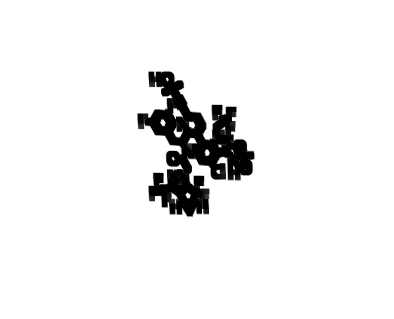 CC(C)(O)C#Cc1ccc(-c2ccc(Cl)c3c(NS(C)(=O)=O)nn(CC(F)(F)F)c23)c(C(Cc2cc(F)cc(F)c2)NC(=O)Cn2nc(C(F)(F)F)c3c2C(F)(F)[C@@H]2C[C@H]32)n1